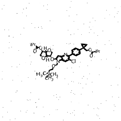 CC(C)C(=O)OCC1(c2ccc(-c3nc4cc(O[C@@H]5CO[C@@H]6[C@@H]5OC[C@H]6OC(=O)C(C)C)n(COCC[Si](C)(C)C)c4cc3Cl)cc2)CC1